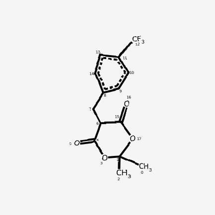 CC1(C)OC(=O)C(Cc2ccc(C(F)(F)F)cc2)C(=O)O1